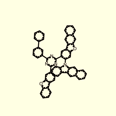 c1ccc(-c2cccc(-c3nc(-c4ccc5c(c4)oc4ccccc45)nc(-c4cc5c(cc4-n4c6ccccc6c6cc7ccccc7cc64)oc4cc6ccccc6cc45)n3)c2)cc1